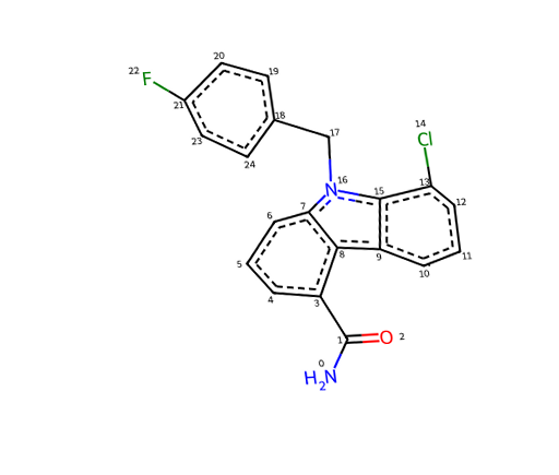 NC(=O)c1cccc2c1c1[c]ccc(Cl)c1n2Cc1ccc(F)cc1